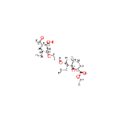 CCCc1c(OCCCOc2cc(O)c(C(C)=O)cc2CC)ccc2c1OC(C(=O)OCC)CC2